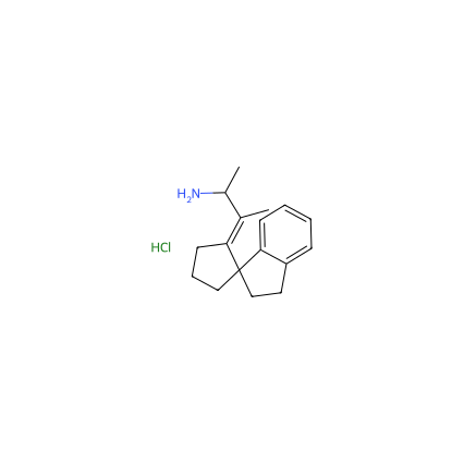 CC(=C1CCCC12CCc1ccccc12)C(C)N.Cl